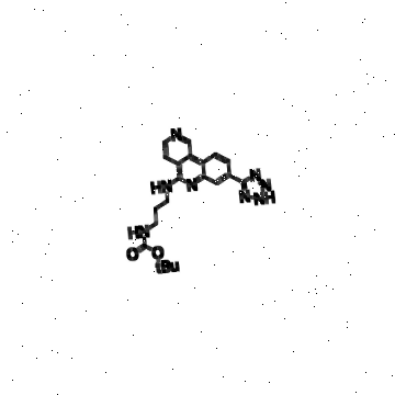 CC(C)(C)OC(=O)NCCCNc1nc2cc(-c3nn[nH]n3)ccc2c2cnccc12